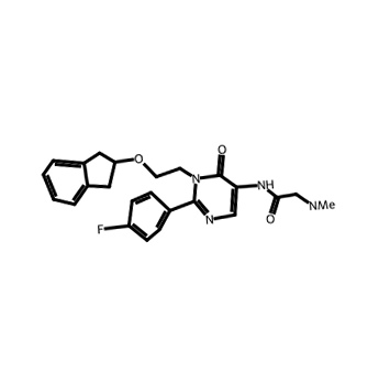 CNCC(=O)Nc1cnc(-c2ccc(F)cc2)n(CCOC2Cc3ccccc3C2)c1=O